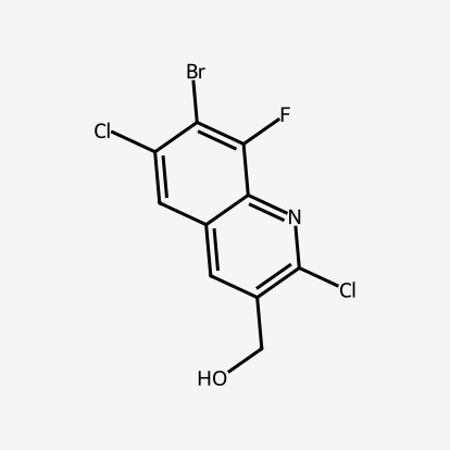 OCc1cc2cc(Cl)c(Br)c(F)c2nc1Cl